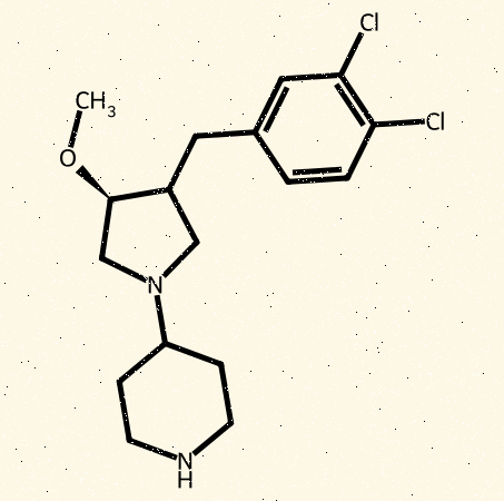 CO[C@@H]1CN(C2CCNCC2)CC1Cc1ccc(Cl)c(Cl)c1